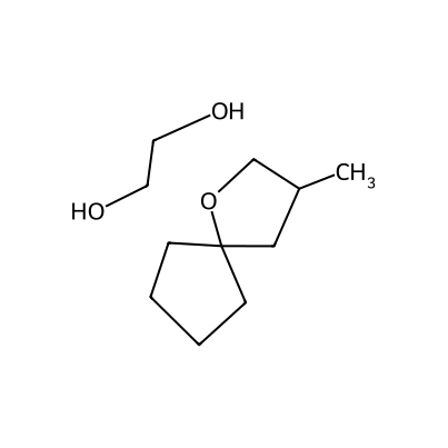 CC1COC2(CCCC2)C1.OCCO